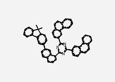 CC1(C)c2ccccc2-c2cc(-c3ccc4cccc(-c5nc(-c6ccc7ccc8ccccc8c7c6)nc(-c6ccc7ccc8ccccc8c7c6)n5)c4c3)ccc21